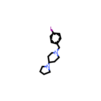 Ic1ccc(CN2CCC(N3CCCC3)CC2)cc1